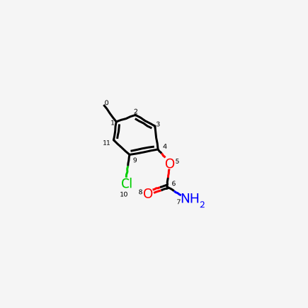 Cc1ccc(OC(N)=O)c(Cl)c1